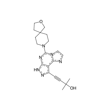 CC(C)(O)C#Cc1n[nH]c2nc(N3CCC4(CCOC4)CC3)n3ccnc3c12